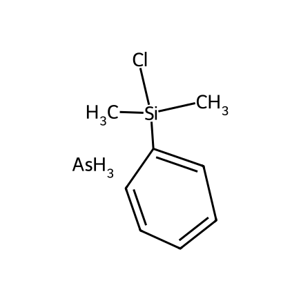 C[Si](C)(Cl)c1ccccc1.[AsH3]